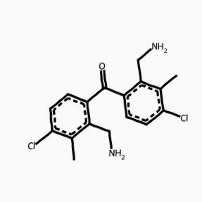 Cc1c(Cl)ccc(C(=O)c2ccc(Cl)c(C)c2CN)c1CN